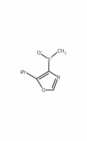 CC(C)c1ocnc1[S+](C)[O-]